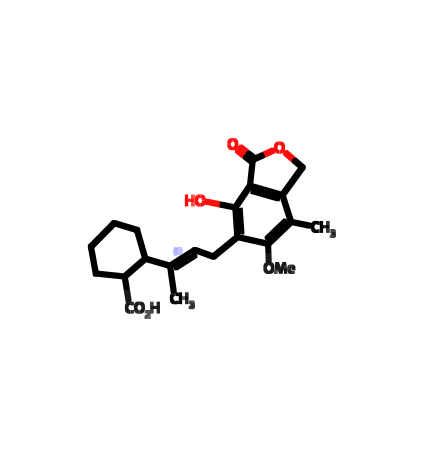 COc1c(C)c2c(c(O)c1C/C=C(\C)C1CCCCC1C(=O)O)C(=O)OC2